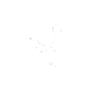 C/C=C/CC1(C(=O)OCc2ccccc2)CC(N)CCN1C=O